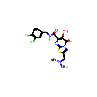 CCCCN(CCCC)Cc1cn2c(=O)c(O)c(C(=O)NCc3ccc(Cl)c(Cl)c3)nc2s1